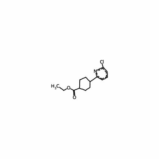 CCOC(=O)C1CCC(c2cccc(Cl)n2)CC1